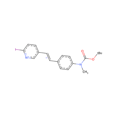 CN(C(=O)OC(C)(C)C)c1ccc(/C=C/c2ccc(I)nc2)cc1